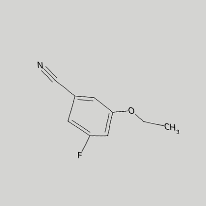 CCOc1cc(F)cc(C#N)c1